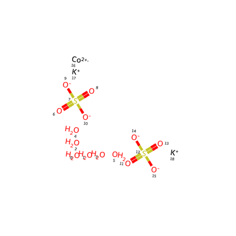 O.O.O.O.O.O.O=S(=O)([O-])[O-].O=S(=O)([O-])[O-].[Co+2].[K+].[K+]